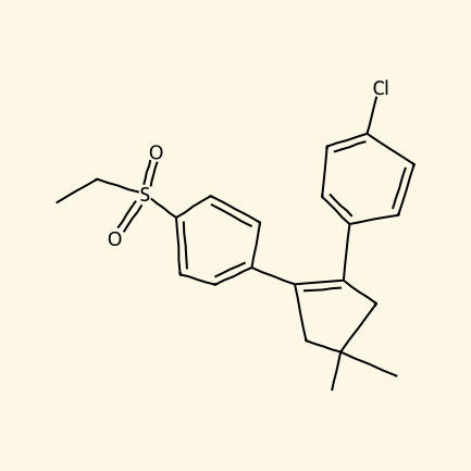 CCS(=O)(=O)c1ccc(C2=C(c3ccc(Cl)cc3)CC(C)(C)C2)cc1